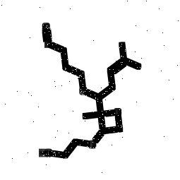 CC(C)=CCC(OCCCN=O)C1(C)OCC1OCCO